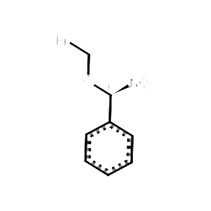 O=[N+]([O-])[C@H](OCBr)c1ccccc1